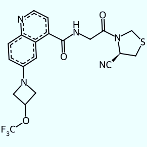 N#C[C@@H]1CSCN1C(=O)CNC(=O)c1ccnc2ccc(N3CC(OC(F)(F)F)C3)cc12